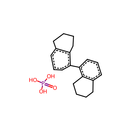 O=P(O)(O)O.c1cc2c(c(-c3cccc4c3CCCC4)c1)CCCC2